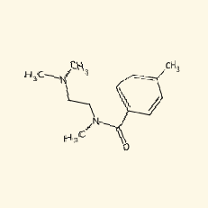 Cc1ccc(C(=O)N(C)CCN(C)C)cc1